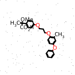 CO[C@](C)(C(=O)O)c1ccc(OCCCOc2ccc(Oc3ccccc3)cc2C)cc1